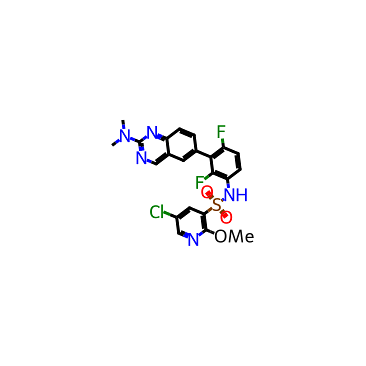 COc1ncc(Cl)cc1S(=O)(=O)Nc1ccc(F)c(-c2ccc3nc(N(C)C)ncc3c2)c1F